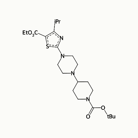 CCOC(=O)c1sc(N2CCN(C3CCN(C(=O)OC(C)(C)C)CC3)CC2)nc1C(C)C